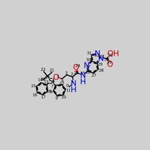 CNC(CCO[Si](c1ccccc1)(c1ccccc1)C(C)(C)C)C(=O)Nc1ccc2c(cnn2C(=O)O)n1